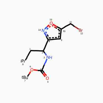 CC(C)CC(NC(=O)OC(C)(C)C)c1cc(CBr)on1